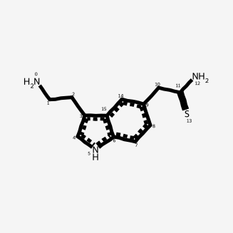 NCCc1c[nH]c2ccc(CC(N)=S)cc12